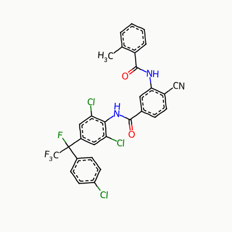 Cc1ccccc1C(=O)Nc1cc(C(=O)Nc2c(Cl)cc(C(F)(c3ccc(Cl)cc3)C(F)(F)F)cc2Cl)ccc1C#N